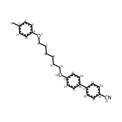 Cc1ccc(OCCCCCCOc2ccc(-c3ccc(C#N)cc3)cc2)cc1